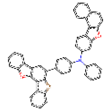 c1ccc(N(c2ccc(-c3cc4c5ccccc5oc4c4c3sc3ccccc34)cc2)c2ccc3c(c2)oc2ccc4ccccc4c23)cc1